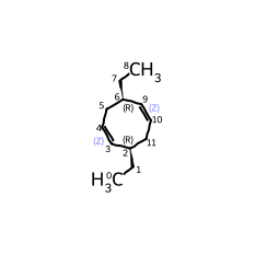 CC[C@H]1/C=C\C[C@@H](CC)/C=C\C1